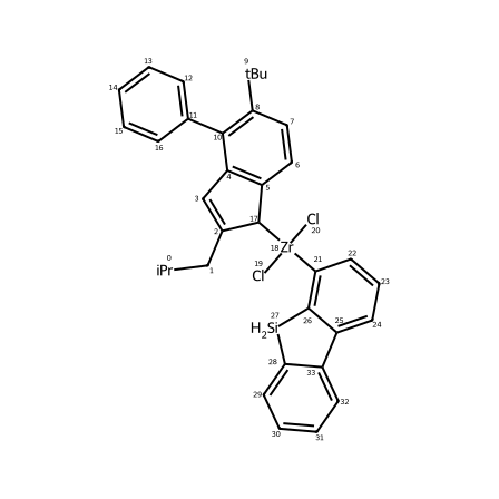 CC(C)CC1=Cc2c(ccc(C(C)(C)C)c2-c2ccccc2)[CH]1[Zr]([Cl])([Cl])[c]1cccc2c1[SiH2]c1ccccc1-2